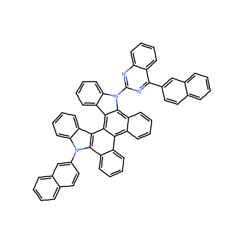 c1ccc2cc(-c3nc(-n4c5ccccc5c5c6c(c7ccccc7c7c6c6ccccc6n7-c6ccc7ccccc7c6)c6ccccc6c54)nc4ccccc34)ccc2c1